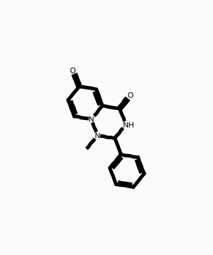 CN1C(c2ccccc2)NC(=O)c2cc(=O)ccn21